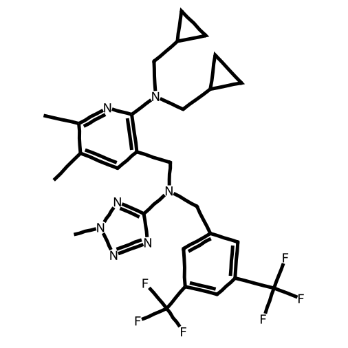 Cc1cc(CN(Cc2cc(C(F)(F)F)cc(C(F)(F)F)c2)c2nnn(C)n2)c(N(CC2CC2)CC2CC2)nc1C